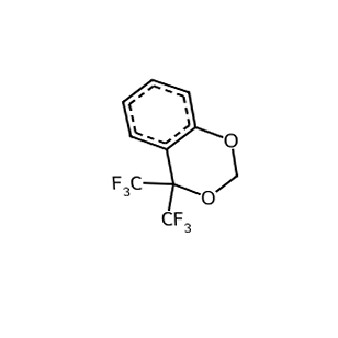 FC(F)(F)C1(C(F)(F)F)OCOc2ccccc21